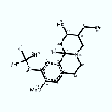 [2H]C([2H])([2H])Oc1cc2c(cc1OC)CCN1CC(CC(C)C)C(O)CC21[2H]